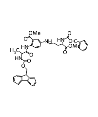 COC(=O)c1cc(NCCCC(NC(=O)OCc2ccccc2)C(=O)OC)ccc1NC(=O)C(C)NC(=O)OCC1c2ccccc2-c2ccccc21